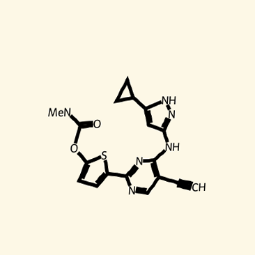 C#Cc1cnc(-c2ccc(OC(=O)NC)s2)nc1Nc1cc(C2CC2)[nH]n1